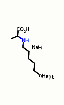 CCCCCCCCCCCCNC(C)C(=O)O.[NaH]